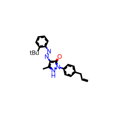 C=CCc1ccc(-n2[nH]c(C)c(/N=N/c3ccccc3C(C)(C)C)c2=O)cc1